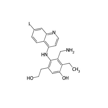 CCc1c(O)cc(CCO)c(Nc2ccnc3cc(I)ccc23)c1CN